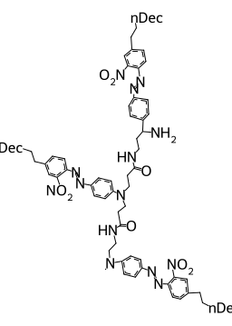 CCCCCCCCCCCCc1ccc(N=Nc2ccc(C(N)CCNC(=O)CCN(CCC(=O)NCCN(C)c3ccc(N=Nc4ccc(CCCCCCCCCCCC)cc4[N+](=O)[O-])cc3)c3ccc(N=Nc4ccc(CCCCCCCCCCCC)cc4[N+](=O)[O-])cc3)cc2)c([N+](=O)[O-])c1